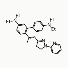 CCN(CC)c1ccc(-c2cc(N(CC)CC)ccc2C(C)=CC2=NN(c3ccccn3)CC2)cc1